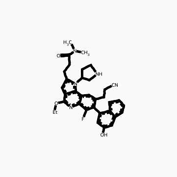 CCOc1nc2c(F)c(-c3cc(O)cc4ccccc34)c(CCC#N)cc2c2c1cc(CCC(=O)N(C)C)n2C1CCNC1